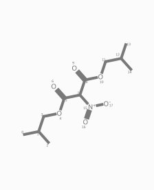 CC(C)COC(=O)C(C(=O)OCC(C)C)[N+](=O)[O-]